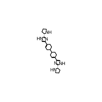 C1=C(c2c[nH]c([C@@H]3CCCN3)n2)CCC(C2CC=C(c3c[nH]c([C@@H]4CCCN4)n3)CC2)C1